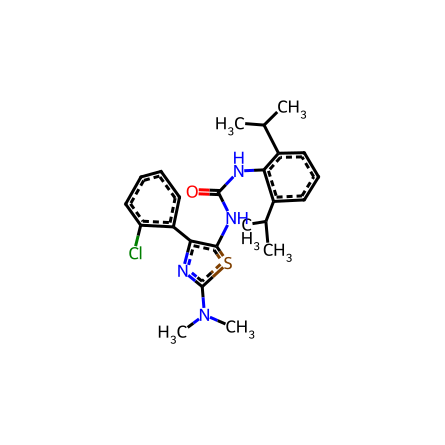 CC(C)c1cccc(C(C)C)c1NC(=O)Nc1sc(N(C)C)nc1-c1ccccc1Cl